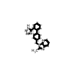 Cc1nc2cccnc2n1Cc1ccc(-c2ccccc2-c2nnn[nH]2)cc1